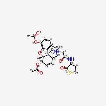 CC(=O)Oc1ccc2c3c1O[C@H]1[C@@H](OC(C)=O)C=CC4C(C2)[N+](C)(CC(=O)NC2CCSC2=O)CC[C@@]341